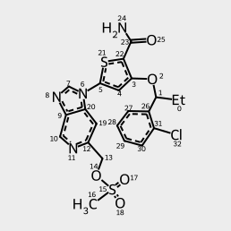 CCC(Oc1cc(-n2cnc3cnc(COS(C)(=O)=O)cc32)sc1C(N)=O)c1ccccc1Cl